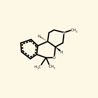 CN1CC[C@@H]2c3ccccc3C(C)(C)O[C@H]2C1